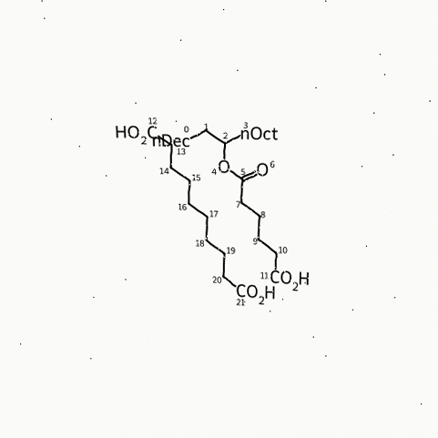 CCCCCCCCCCCC(CCCCCCCC)OC(=O)CCCCC(=O)O.O=C(O)CCCCCCCCC(=O)O